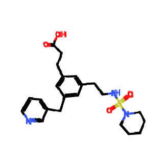 O=C(O)CCc1cc(CCNS(=O)(=O)N2CCCCC2)cc(Cc2cccnc2)c1